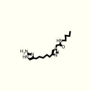 CCCCNC(=O)Cn1cc(CCCCCc2c[nH]c(N)n2)nn1